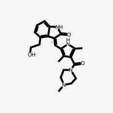 Cc1[nH]c(/C=C2\C(=O)Nc3cccc(CCO)c32)c(C)c1C(=O)N1CCN(C)CC1